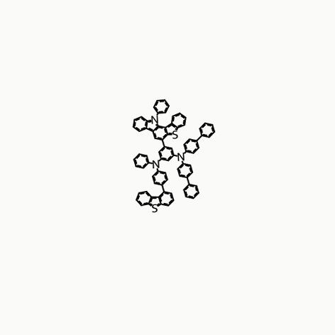 c1ccc(-c2ccc(N(c3ccc(-c4ccccc4)cc3)c3cc(-c4cc5c6ccccc6n(-c6ccccc6)c5c5c4sc4ccccc45)cc(N(c4ccccc4)c4ccc(-c5cccc6sc7ccccc7c56)cc4)c3)cc2)cc1